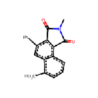 CC(C)c1cc2c(C(=O)O)cccc2c2c1C(=O)N(C)C2=O